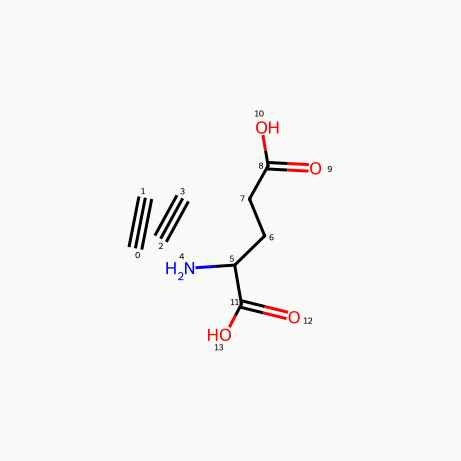 C#C.C#C.NC(CCC(=O)O)C(=O)O